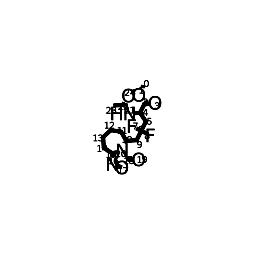 COC(=O)C(CC(F)(F)CC1CCCCc2noc(=O)n21)NC(C)=O